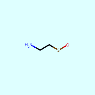 NCCS[O]